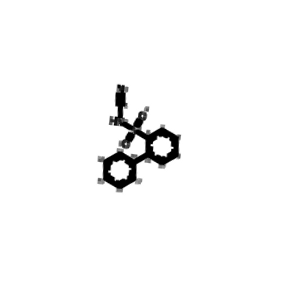 N#CNS(=O)(=O)c1ccccc1-c1ccccc1